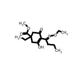 CCCC(=NOCC)C1=C(O)CC(CC)(C(=O)OC)CC1=O